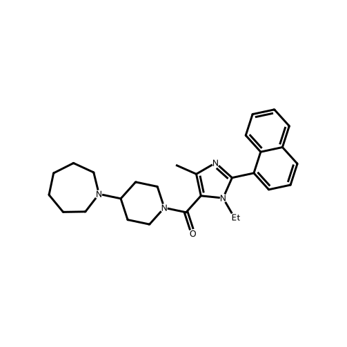 CCn1c(-c2cccc3ccccc23)nc(C)c1C(=O)N1CCC(N2CCCCCC2)CC1